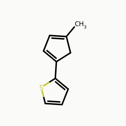 CC1=CC=C(c2cccs2)C1